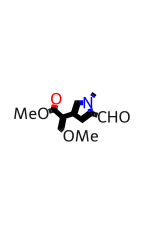 CO/C=C(/C(=O)OC)c1cc(C=O)n(C)c1